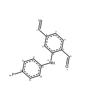 C=Cc1ccc(C=O)c(Nc2ccc(F)cc2)c1